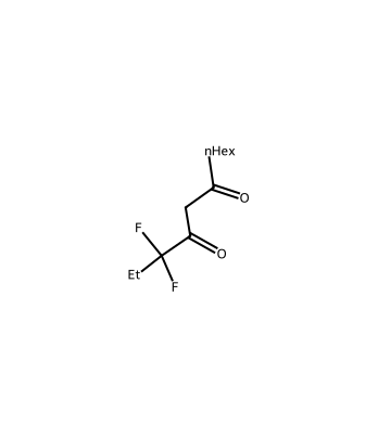 CCCCCCC(=O)CC(=O)C(F)(F)CC